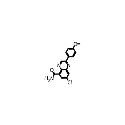 COc1ccc(-c2cnc3c(C(N)=O)cc(Cl)cc3n2)cc1